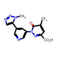 Cn1nncc1-c1cncc(-n2nc(C(=O)O)cc(C(F)(F)F)c2=O)c1